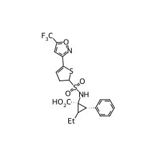 CCC1[C@@H](c2ccccc2)[C@@]1(NS(=O)(=O)C1CC=C(c2cc(C(F)(F)F)on2)S1)C(=O)O